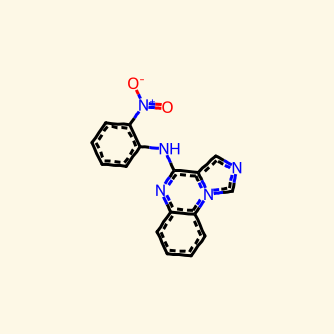 O=[N+]([O-])c1ccccc1Nc1nc2ccccc2n2cncc12